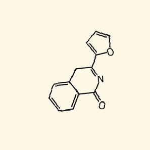 O=C1N=C(c2ccco2)Cc2ccccc21